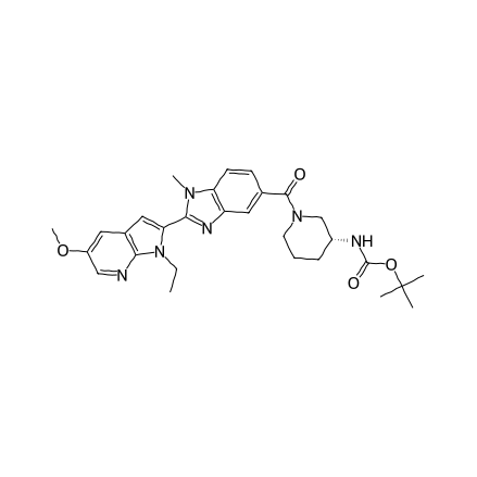 CCn1c(-c2nc3cc(C(=O)N4CCC[C@@H](NC(=O)OC(C)(C)C)C4)ccc3n2C)cc2cc(OC)cnc21